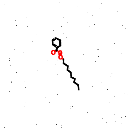 CCCCCCCCCCOOC(=O)c1ccccc1